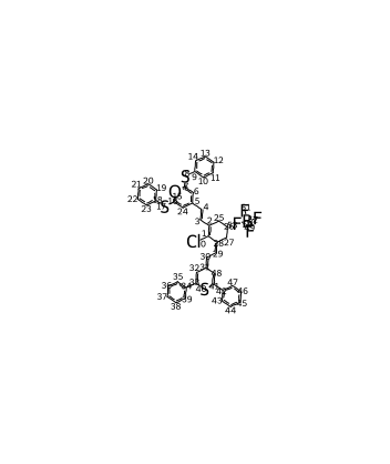 ClC1=C(C=Cc2cc(Sc3ccccc3)[o+]c(Sc3ccccc3)c2)CCCC1=CC=C1C=C(c2ccccc2)SC(c2ccccc2)=C1.F[B-](F)(F)F